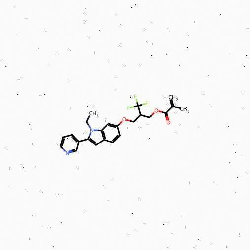 C=C(C)C(=O)OCC(COc1ccc2cc(-c3cccnc3)n(CC)c2c1)C(F)(F)F